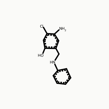 Nc1cc(CNc2ccccc2)c(O)cc1Cl